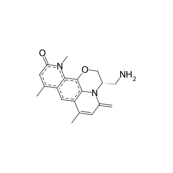 C=C1C=C(C)c2cc3c(C)cc(=O)n(C)c3c3c2N1[C@@H](CN)CO3